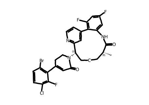 C[C@@H]1CCC[C@H](N2CCC(c3c(Br)ccc(Cl)c3F)=CC2=O)c2cc(ccn2)-c2c(F)cc(F)cc2NC1=O